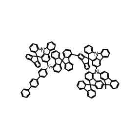 CC1(C)c2ccccc2-c2ccc(N(c3cc4c5c(c3)c3ccccc3n5-c3ccccc3C43c4ccccc4-c4cc(-c5cccc6c5-c5ccccc5C65c6ccccc6-c6c(N(c7ccc(-c8ccc(-c9ccccc9)cc8)cc7)c7cc8c9c(c7)c7ccccc7n9-c7ccccc7C87c8ccccc8-c8ccccc87)cccc65)ccc43)c3cccc4c3-c3ccccc3C43c4ccccc4-c4ccccc43)cc21